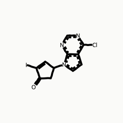 O=C1CC(n2ccc3c(Cl)ncnc32)C=C1I